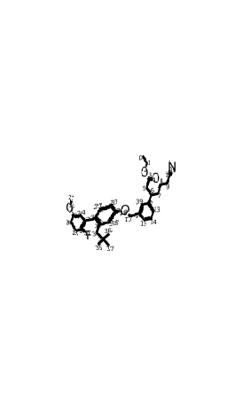 CCOC(=O)CC(CCCC#N)c1cccc(COc2ccc(-c3cc(OC)ccc3F)c(CC(C)(C)C)c2)c1